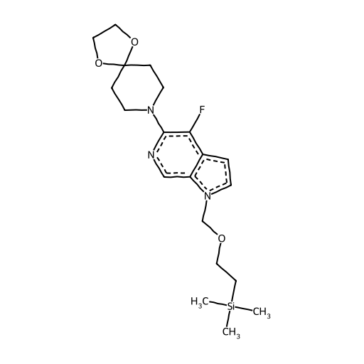 C[Si](C)(C)CCOCn1ccc2c(F)c(N3CCC4(CC3)OCCO4)ncc21